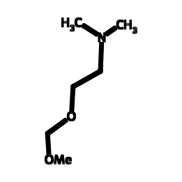 COCOCCN(C)C